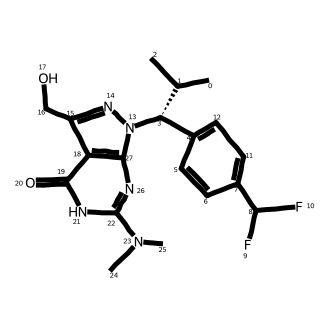 CC(C)[C@H](c1ccc(C(F)F)cc1)n1nc(CO)c2c(=O)[nH]c(N(C)C)nc21